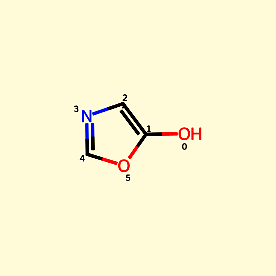 Oc1[c]nco1